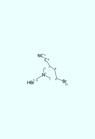 Br.CN(C)C.N#CCCCCBr